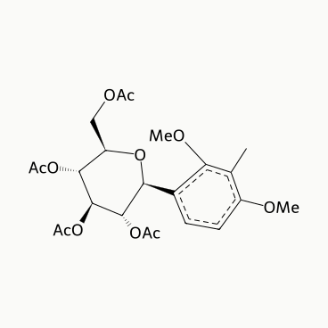 COc1ccc([C@@H]2O[C@H](COC(C)=O)[C@@H](OC(C)=O)[C@H](OC(C)=O)[C@H]2OC(C)=O)c(OC)c1C